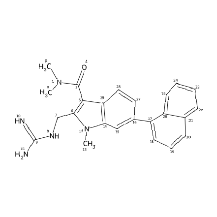 CN(C)C(=O)c1c(CNC(=N)N)n(C)c2cc(-c3cccc4ccccc34)ccc12